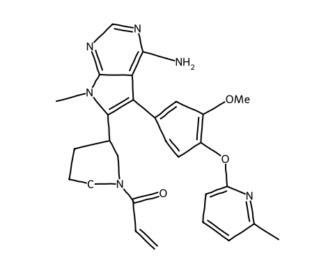 C=CC(=O)N1CCCC(c2c(-c3ccc(Oc4cccc(C)n4)c(OC)c3)c3c(N)ncnc3n2C)C1